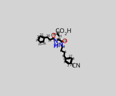 N#Cc1ccc(CCCCNC(=O)[C@@H](CCC(=O)O)NC(=O)CCc2ccccc2)cc1